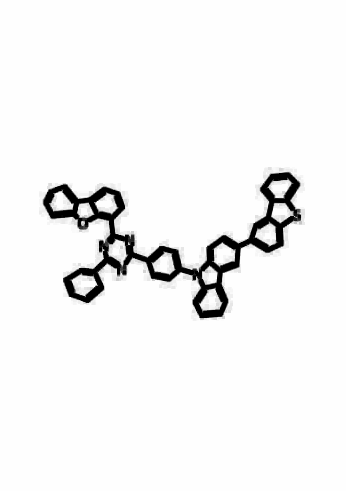 c1ccc(-c2nc(-c3ccc(-n4c5ccccc5c5cc(-c6ccc7sc8ccccc8c7c6)ccc54)cc3)nc(-c3cccc4c3oc3ccccc34)n2)cc1